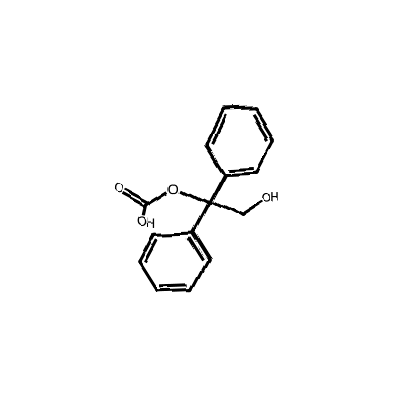 O=C(O)OC(CO)(c1ccccc1)c1ccccc1